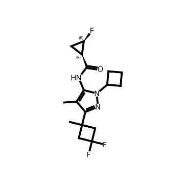 Cc1c(C2(C)CC(F)(F)C2)nn(C2CCC2)c1NC(=O)[C@H]1C[C@H]1F